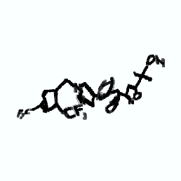 CC(C)(O)c1cc(C(=O)Nc2cnn(Cc3ccc(C(F)(F)F)cc3C(F)(F)F)c2)no1